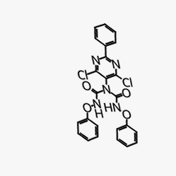 O=C(NOc1ccccc1)N(C(=O)NOc1ccccc1)c1c(Cl)nc(-c2ccccc2)nc1Cl